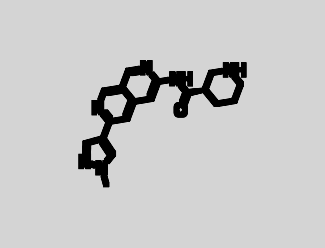 Cn1cc(-c2cc3cc(NC(=O)[C@@H]4CCCNC4)ncc3cn2)cn1